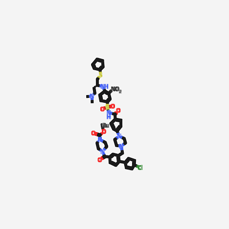 CN(C)CC[C@H](CSc1ccccc1)Nc1ccc(S(=O)(=O)NC(=O)c2ccc(N3CCN(Cc4cc(C(=O)N5CCN(C(=O)OC(C)(C)C)CC5)ccc4-c4ccc(Cl)cc4)CC3)cc2)cc1[N+](=O)[O-]